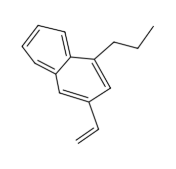 C=Cc1cc(CCC)c2ccccc2c1